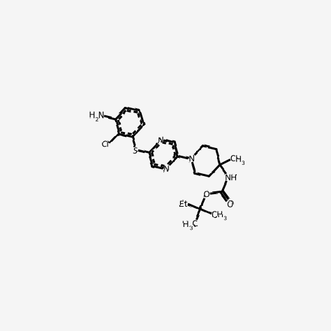 CCC(C)(C)OC(=O)NC1(C)CCN(c2cnc(Sc3cccc(N)c3Cl)cn2)CC1